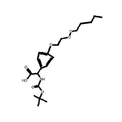 CCCCCOOCCOc1ccc(C(NC(=O)OC(C)(C)C)C(=O)O)cc1